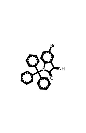 N=C1C(=O)N(C(c2ccccc2)(c2ccccc2)c2ccccc2)c2ccc(Br)cc21